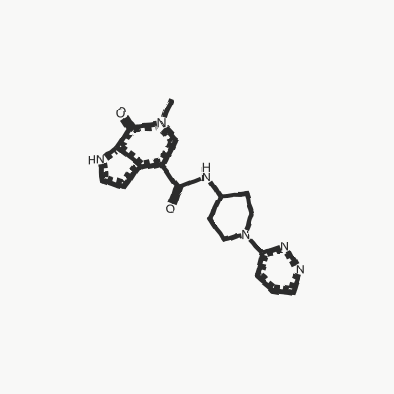 Cn1cc(C(=O)NC2CCN(c3cccnn3)CC2)c2cc[nH]c2c1=O